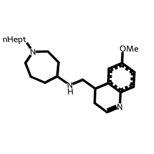 CCCCCCCN1CCCC(NCC2CC=Nc3ccc(OC)cc32)CC1